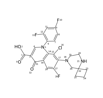 O=C(O)c1cn(-c2ccc(F)cc2F)c2c(Cl)c(N3CCNC4(CCC4)C3)c(F)cc2c1=O